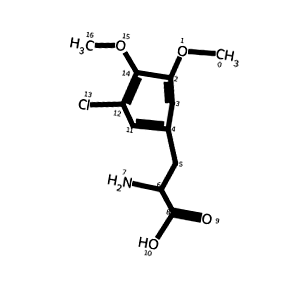 COc1cc(CC(N)C(=O)O)cc(Cl)c1OC